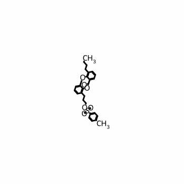 CCCCc1cccc2c1OC1OC2Oc2c(CCCOS(=O)(=O)c3ccc(C)cc3)cccc21